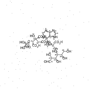 CC(C)C(N)C(=O)O.Nc1ncnc2nc[nH]c12.O=C(O)CC(O)(CC(=O)O)C(=O)O.O=CC(O)C(O)C(O)C(O)CO.O=P(O)(O)O